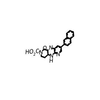 O=C(O)N1CCC(Nc2ncc(-c3ccc4ccccc4c3)cc2[N+](=O)[O-])CC1